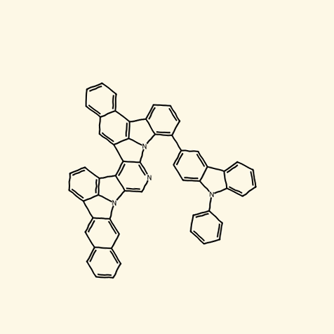 c1ccc(-n2c3ccccc3c3cc(-c4cccc5c6c7ccccc7cc7c8c9c%10cccc%11c%12cc%13ccccc%13cc%12n(c9cnc8n(c45)c76)c%11%10)ccc32)cc1